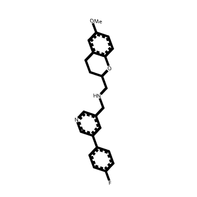 COc1ccc2c(c1)CCC(CNCc1cncc(-c3ccc(F)cc3)c1)O2